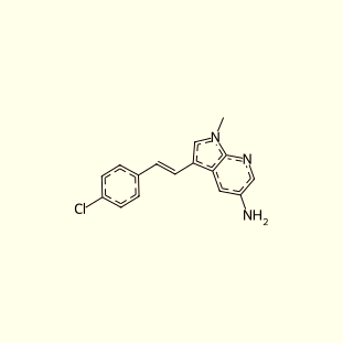 Cn1cc(C=Cc2ccc(Cl)cc2)c2cc(N)cnc21